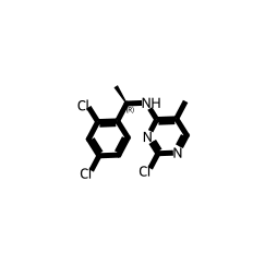 Cc1cnc(Cl)nc1N[C@H](C)c1ccc(Cl)cc1Cl